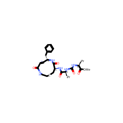 COC(=O)[C@@H](NC(=O)N[C@H](C(=O)N[C@H]1CCCCNC(=O)/C=C/[C@H](Cc2ccccc2)NC1=O)C(C)C)C(C)C